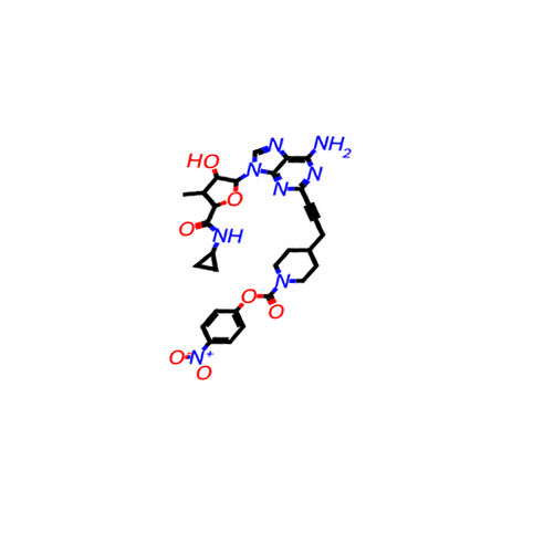 CC1C(C(=O)NC2CC2)OC(n2cnc3c(N)nc(C#CCC4CCN(C(=O)Oc5ccc([N+](=O)[O-])cc5)CC4)nc32)C1O